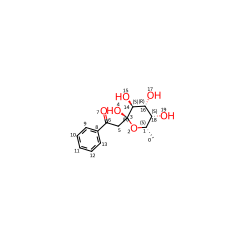 C[C@@H]1O[C@](O)(CC(=O)c2ccccc2)[C@@H](O)[C@H](O)[C@@H]1O